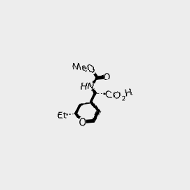 CC[C@@H]1C[C@@H]([C@H](NC(=O)OC)C(=O)O)CCO1